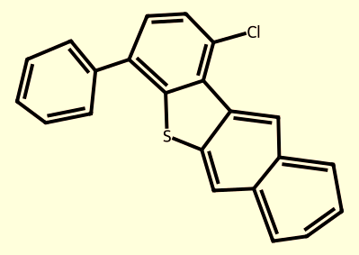 Clc1ccc(-c2ccccc2)c2sc3cc4ccccc4cc3c12